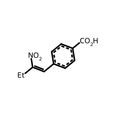 CCC(=Cc1ccc(C(=O)O)cc1)[N+](=O)[O-]